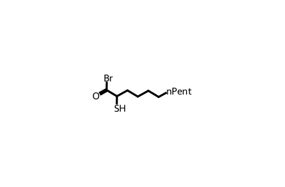 CCCCCCCCCC(S)C(=O)Br